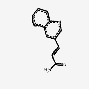 NC(=O)C=Cc1cnc2ccccc2c1